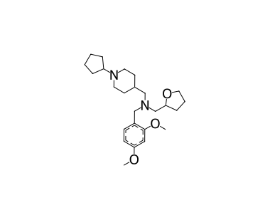 COc1ccc(CN(CC2CCN(C3CCCC3)CC2)CC2CCCO2)c(OC)c1